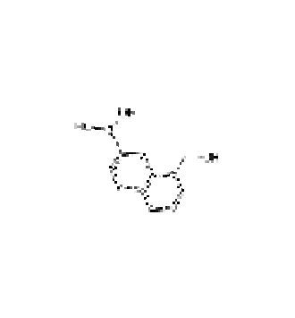 OCc1cccc2ccc(B(O)O)cc12